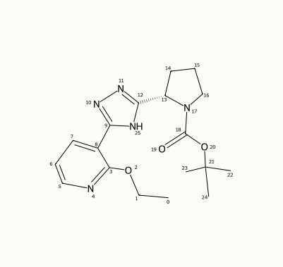 CCOc1ncccc1-c1nnc([C@@H]2CCCN2C(=O)OC(C)(C)C)[nH]1